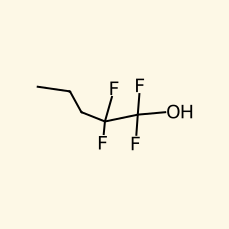 CCCC(F)(F)C(O)(F)F